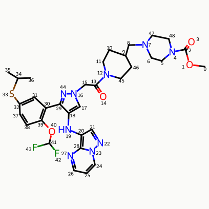 COC(=O)N1CCN(CC2CCN(C(=O)Cn3cc(Nc4cnn5cccnc45)c(-c4cc(SC(C)C)ccc4OC(F)F)n3)CC2)CC1